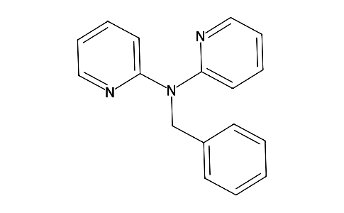 c1ccc(CN(c2ccccn2)c2ccccn2)cc1